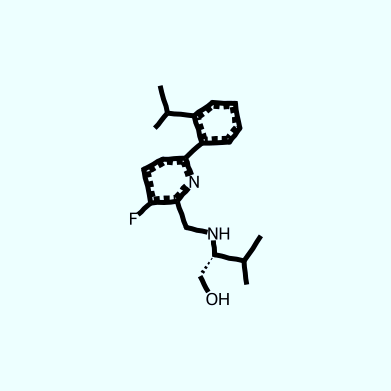 CC(C)c1ccccc1-c1ccc(F)c(CN[C@@H](CO)C(C)C)n1